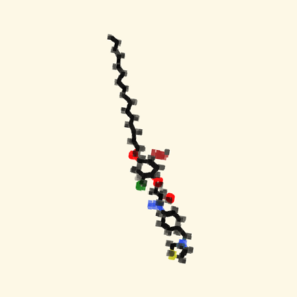 Br.CCCCCCCCCCCCCCCCOc1ccc(OCC(=O)Nc2ccc(CN3C=CSC3)cc2)c(Cl)c1